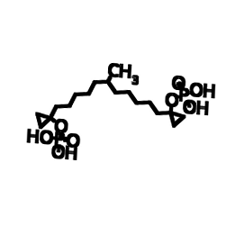 CC(CCCCCC1(OP(=O)(O)O)CC1)CCCCCC1(OP(=O)(O)O)CC1